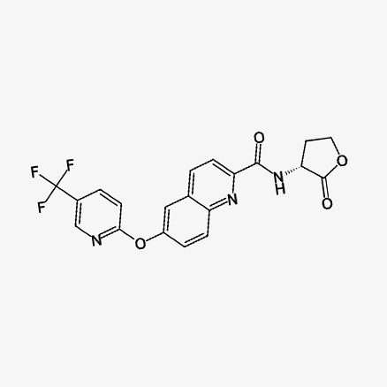 O=C(N[C@@H]1CCOC1=O)c1ccc2cc(Oc3ccc(C(F)(F)F)cn3)ccc2n1